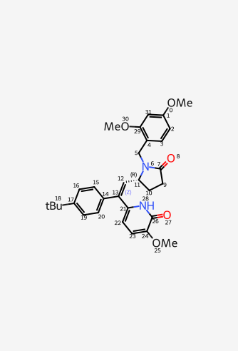 COc1ccc(CN2C(=O)CC[C@@H]2/C=C(/c2ccc(C(C)(C)C)cc2)c2ccc(OC)c(=O)[nH]2)c(OC)c1